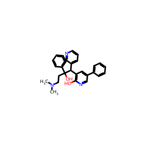 CN(C)CCC(O)(C1=C=C=CC=C1)C(c1cccnc1)c1cc(-c2ccccc2)cnc1O